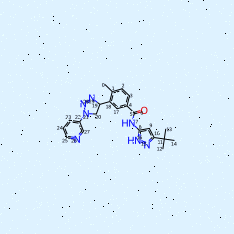 Cc1ccc(C(=O)Nc2cc(C(C)(C)C)n[nH]2)cc1C1CN(c2cccnc2)N=N1